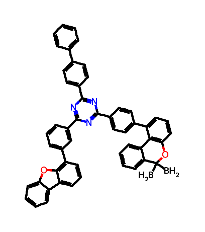 BC1(B)Oc2cccc(-c3ccc(-c4nc(-c5ccc(-c6ccccc6)cc5)nc(-c5cccc(-c6cccc7c6oc6ccccc67)c5)n4)cc3)c2-c2ccccc21